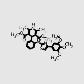 COC(=O)C1=C(C)NC(C)=C(C(=O)OC)C1c1ccccc1Nc1nc(-c2cc(OC)c(OC)c(OC)c2)cs1